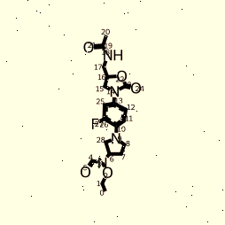 CCON(C=O)C1CCN(c2ccc(N3CC(CNC(C)=O)OC3=O)cc2F)C1